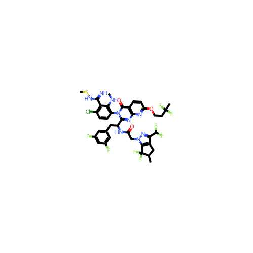 CNc1c(-n2c(C(Cc3cc(F)cc(F)c3)NC(=O)Cn3nc(C(F)F)c4c3C(F)(F)C(C)C4)nc3nc(OCCC(C)(F)F)ccc3c2=O)ccc(Cl)c1C(=N)NSC